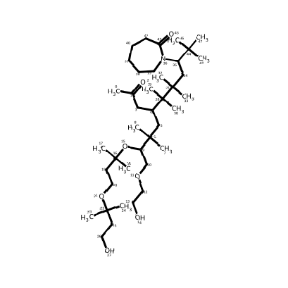 CC(=O)CC(CC(C)(C)C(COCCO)OC(C)(C)CCOC(C)(C)CCO)C(C)(C)C(C)(C)CC(N1CCCCCC1=O)C(C)(C)C